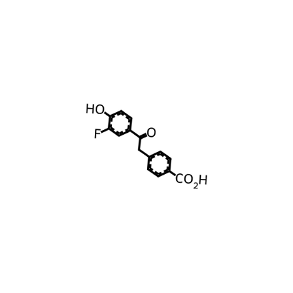 O=C(O)c1ccc(CC(=O)c2ccc(O)c(F)c2)cc1